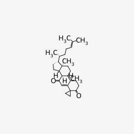 CC(C)=CCC[C@@H](C)[C@H]1CC[C@H]2[C@@H]3C(=O)C=C4C5(CC5)C(=O)CC[C@]4(C)[C@H]3CC[C@]12C